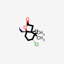 CC1(C)[C@H](Cl)CC[C@]2(CI)OC(=O)C[C@H]12